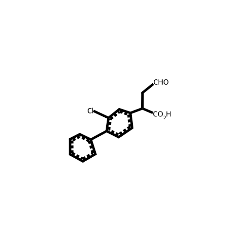 O=CCC(C(=O)O)c1ccc(-c2ccccc2)c(Cl)c1